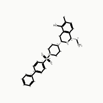 Cc1ccc2c(c1O)C[C@@H](C1CCN(S(=O)(=O)c3ccc(-c4ccccc4)cc3)CC1)O[C@H]2CN